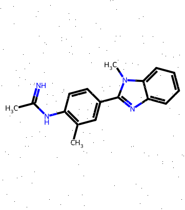 CC(=N)Nc1ccc(-c2nc3ccccc3n2C)cc1C